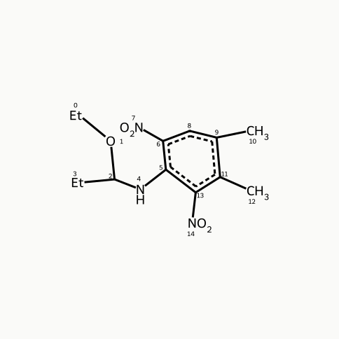 CCOC(CC)Nc1c([N+](=O)[O-])cc(C)c(C)c1[N+](=O)[O-]